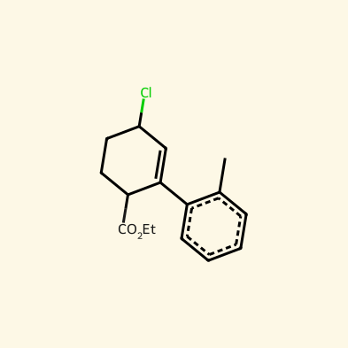 CCOC(=O)C1CCC(Cl)C=C1c1ccccc1C